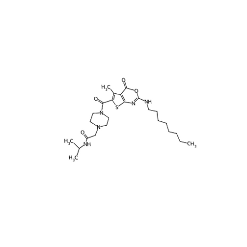 CCCCCCCCNc1nc2sc(C(=O)N3CCN(CC(=O)NC(C)C)CC3)c(C)c2c(=O)o1